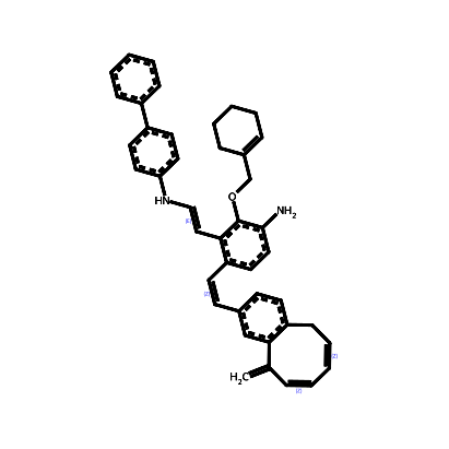 C=C1/C=C\C=C/Cc2ccc(/C=C\c3ccc(N)c(OCC4=CCCCC4)c3/C=C/Nc3ccc(-c4ccccc4)cc3)cc21